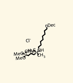 CCCCCCCCCCCCCCCCCCN[N+](C)(C)CCC[Si](OC)(OC)OC.[Cl-]